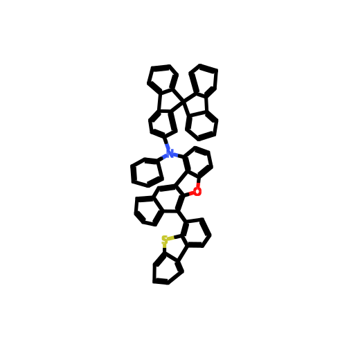 c1ccc(N(c2ccc3c(c2)C2(c4ccccc4-c4ccccc42)c2ccccc2-3)c2cccc3oc4c(-c5cccc6c5sc5ccccc56)c5ccccc5cc4c23)cc1